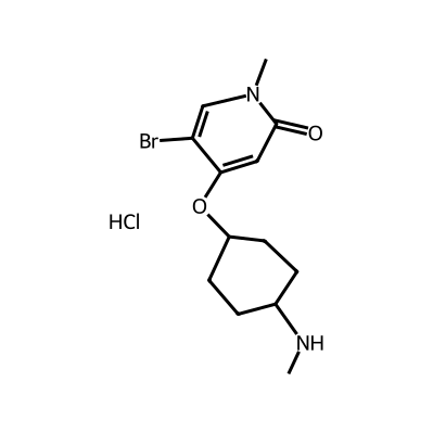 CNC1CCC(Oc2cc(=O)n(C)cc2Br)CC1.Cl